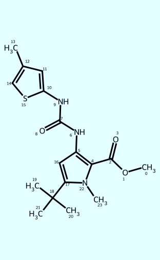 COC(=O)c1c(NC(=O)Nc2cc(C)cs2)cc(C(C)(C)C)n1C